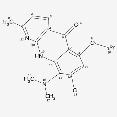 Cc1ccc2c(=O)c3c(OC(C)C)cc(Cl)c(N(C)C)c3[nH]c2n1